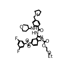 CCOCCOC(=O)n1nc(NC(=O)c2ccc(CN3CCCC3)cc2NC2CCOCC2)c2cc(S(=O)(=O)c3cc(F)cc(F)c3)ccc21